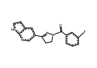 O=C(c1cccc(F)c1)N1CCC(c2cnc3[nH]ccc3c2)=N1